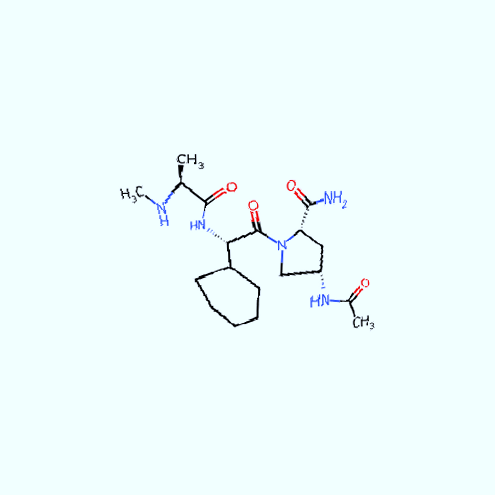 CN[C@@H](C)C(=O)N[C@H](C(=O)N1C[C@@H](NC(C)=O)C[C@H]1C(N)=O)C1CCCCC1